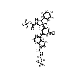 CC(C)(C)OC(=O)NCC1(c2cc(-c3ncnc4c3ccn4COCCS(C)(C)C)cc(Cl)n2)Cc2ccccc2C1